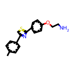 Cc1ccc(-c2csc(-c3ccc(OCCN)cc3)n2)cc1